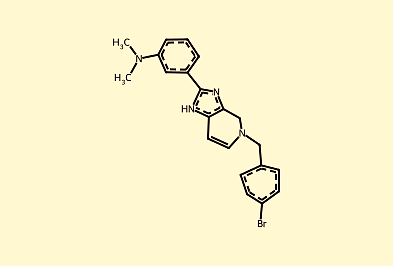 CN(C)c1cccc(-c2nc3c([nH]2)C=CN(Cc2ccc(Br)cc2)C3)c1